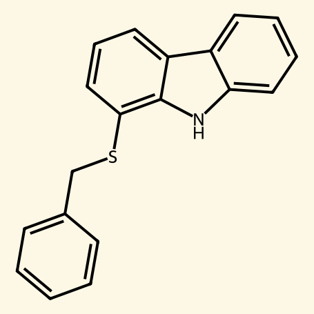 c1ccc(CSc2cccc3c2[nH]c2ccccc23)cc1